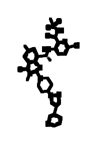 Cc1cc([C@@H](C)Nc2ccc(Cl)nc2C(=O)NS(C)(=O)=O)c2nc(N3CCC(n4cc(-c5cccnc5)cn4)CC3)n(C)c(=O)c2c1